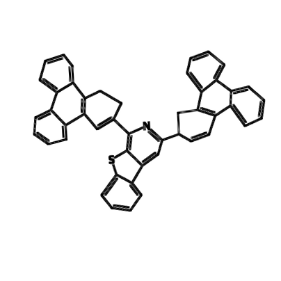 C1=CC(c2cc3c(sc4ccccc43)c(C3=Cc4c(c5ccccc5c5ccccc45)CC3)n2)Cc2c1c1ccccc1c1ccccc21